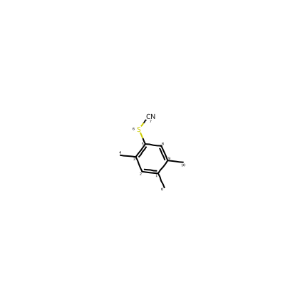 Cc1cc(C)c(SC#N)cc1C